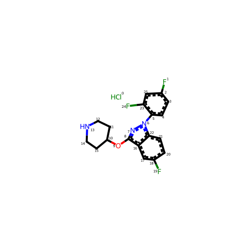 Cl.Fc1ccc(-n2nc(OC3CCNCC3)c3cc(F)ccc32)c(F)c1